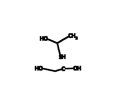 CC(O)S.OCCO